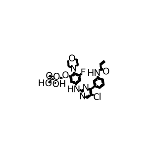 C=CC(=O)Nc1cccc(-c2nc(Nc3cc(F)c(N4CCOCC4)c(OCOP(=O)(O)O)c3)ncc2Cl)c1